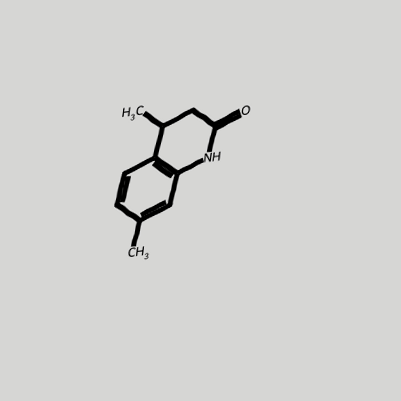 Cc1ccc2c(c1)NC(=O)CC2C